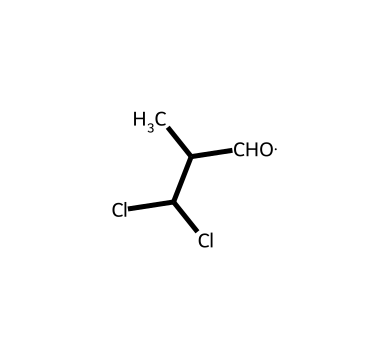 CC([C]=O)C(Cl)Cl